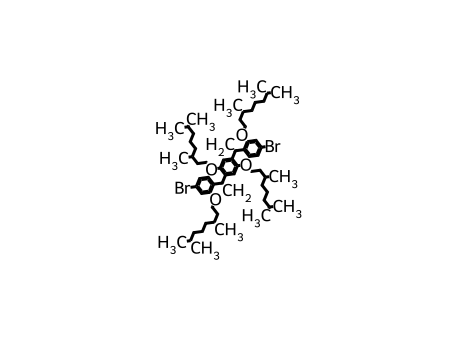 C=C(c1ccc(Br)cc1OCCC(C)CCCC(C)C)c1cc(OCCC(C)CCCC(C)C)c(C(=C)c2ccc(Br)cc2OCCC(C)CCCC(C)C)cc1OCCC(C)CCCC(C)C